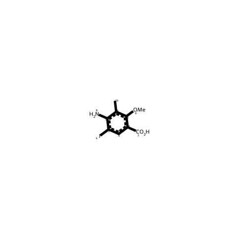 COc1c(C(=O)O)cc(I)c(N)c1C